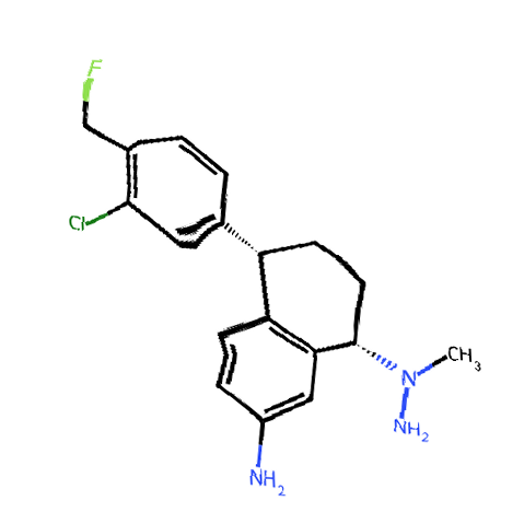 CN(N)[C@H]1CC[C@@H](c2ccc(CF)c(Cl)c2)c2ccc(N)cc21